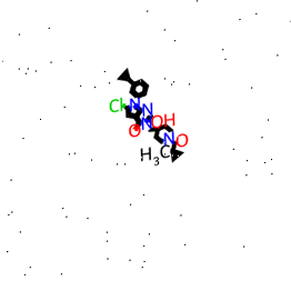 CC1(C(=O)N2CCC(O)(Cn3cnc4c(cc(Cl)n4-c4cccc(C5CC5)c4)c3=O)CC2)CC1